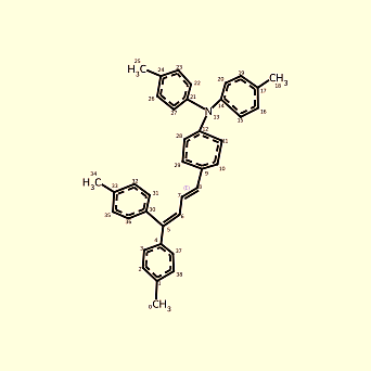 Cc1ccc(C(=C/C=C/c2ccc(N(c3ccc(C)cc3)c3ccc(C)cc3)cc2)c2ccc(C)cc2)cc1